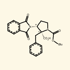 CC(C)(C)OC(=O)N1CC[C@@H](N2C(=O)c3ccccc3C2=O)[C@@]1(Cc1ccccc1)C(=O)O